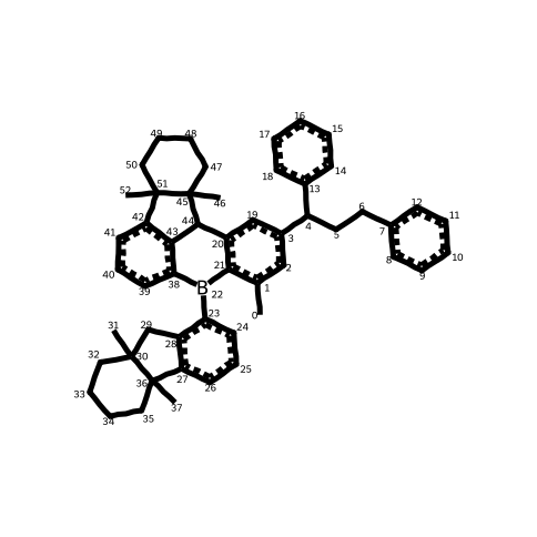 Cc1cc(C(CCc2ccccc2)c2ccccc2)cc2c1B(c1cccc3c1CC1(C)CCCCC31C)c1cccc3c1C2C1(C)CCCCC31C